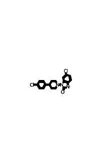 O=C1[N]c2ccc(Cl)cc2N1N1CCC(c2ccc(Cl)cc2)CC1